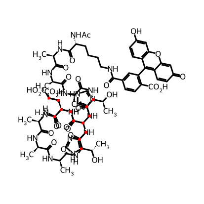 CC(=O)N[C@H](CCCCNC(=O)c1ccc(C(=O)O)c(-c2c3ccc(=O)cc-3oc3cc(O)ccc23)c1)C(=O)N[C@H](C)C(=O)N[C@H](C)C(=O)N[C@H](C)C(=O)N[C@@H](C(=O)N[C@H](Cc1c[nH]cn1)C(=O)N[C@H](CCC(=O)O)C(=O)N[C@H](C)C(=O)N[C@H](C)C(=O)N[C@H](C)C(=O)N[C@@H](C(=O)N[C@H](Cc1c[nH]cn1)C(=O)N[C@H](CCC(=O)O)C(N)=O)[C@H](C)O)[C@H](C)O